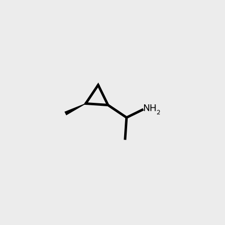 CC(N)C1C[C@@H]1C